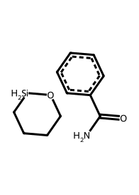 C1CC[SiH2]OC1.NC(=O)c1ccccc1